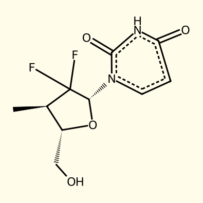 C[C@@H]1[C@@H](CO)O[C@@H](n2ccc(=O)[nH]c2=O)C1(F)F